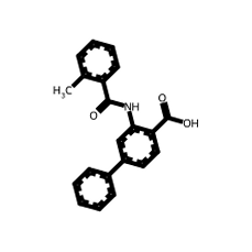 Cc1ccccc1C(=O)Nc1cc(-c2ccccc2)ccc1C(=O)O